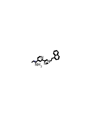 C/C=C(\N)c1ccnc(-c2cn(CCc3cccc4ccccc34)cn2)c1